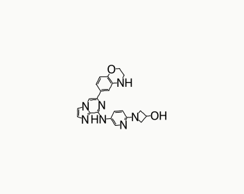 OC1CN(c2ccc(Nc3nc(-c4ccc5c(c4)NCCO5)cn4ccnc34)cn2)C1